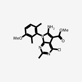 COC(=O)c1c(N)n(-c2c(C)ccc(OC)c2C)c2nc(C)nc(Cl)c12